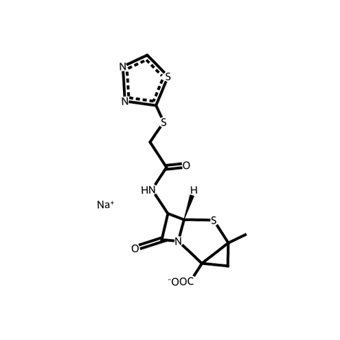 CC12CC1(C(=O)[O-])N1C(=O)C(NC(=O)CSc3nncs3)[C@@H]1S2.[Na+]